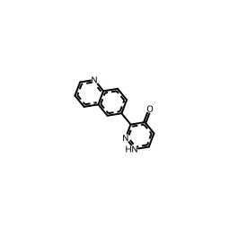 O=c1cc[nH]nc1-c1ccc2ncccc2c1